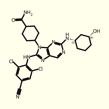 N#Cc1cc(Cl)c(Nc2nc3cnc(N[C@H]4CCC[C@@H](O)C4)nc3n2C2CCC(C(N)=O)CC2)c(Cl)c1